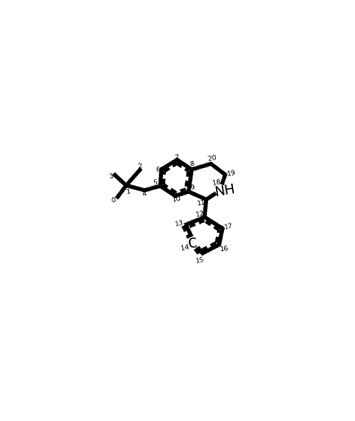 CC(C)(C)Cc1ccc2c(c1)C(c1ccccc1)NCC2